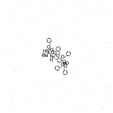 CC[C@H](C)[C@H](NC(=O)OCc1ccccc1)C(=O)N[C@@H](Cc1ccc(OP(=O)(OCc2ccccc2)OCc2ccccc2)c(OCc2ccccc2)c1)C(=O)OCc1ccccc1